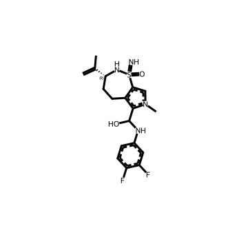 C=C(C)[C@H]1CCc2c(cn(C)c2C(O)Nc2ccc(F)c(F)c2)S(=N)(=O)N1